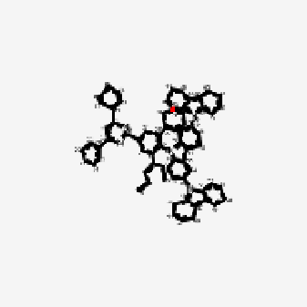 C=C/C=C(\C=C)c1cc(-c2nc(-c3ccccc3)cc(-c3ccccc3)n2)cc(-c2ccccc2)c1-n1c2ccc(-n3c4ccccc4c4ccccc43)cc2c2ccc(-n3c4ccccc4c4ccccc43)cc21